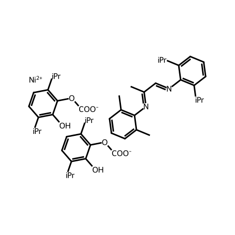 CC(C)c1ccc(C(C)C)c(OC(=O)[O-])c1O.CC(C)c1ccc(C(C)C)c(OC(=O)[O-])c1O.CC(C=Nc1c(C(C)C)cccc1C(C)C)=Nc1c(C)cccc1C.[Ni+2]